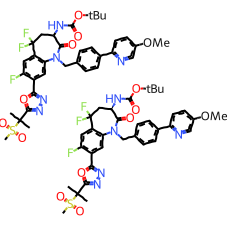 COc1ccc(-c2ccc(CN3C(=O)C(NC(=O)OC(C)(C)C)CC(F)(F)c4cc(F)c(-c5nnc(C(C)(C)S(C)(=O)=O)o5)cc43)cc2)nc1.COc1ccc(-c2ccc(CN3C(=O)[C@H](NC(=O)OC(C)(C)C)CC(F)(F)c4cc(F)c(-c5nnc(C(C)(C)S(C)(=O)=O)o5)cc43)cc2)nc1